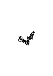 CC(C)N1CCN(c2cnc(-c3cc4c(N5CCN(C(=O)OC(C)(C)C)CC5)ccnn4c3)cn2)CC1